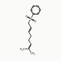 CC(C)=CCCC=CCS(=O)(=O)c1ccccc1